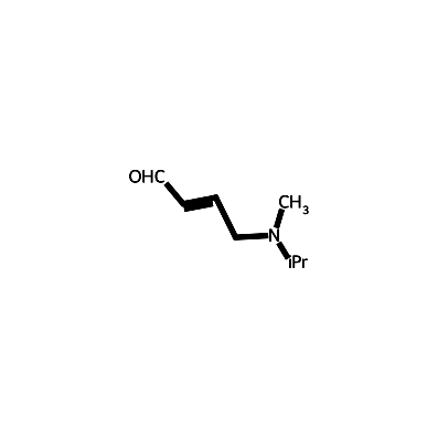 CC(C)N(C)CC=CC=O